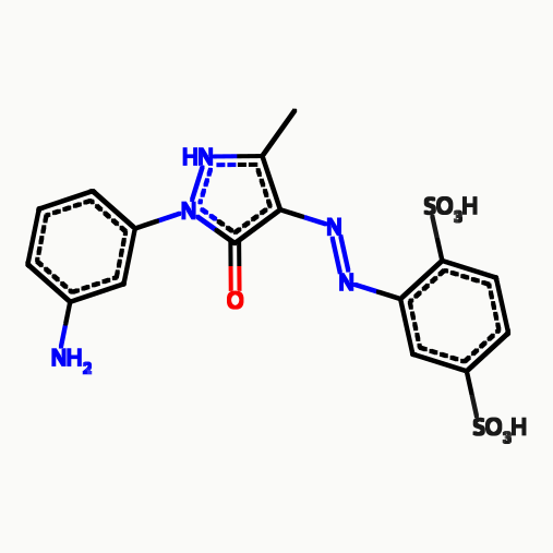 Cc1[nH]n(-c2cccc(N)c2)c(=O)c1N=Nc1cc(S(=O)(=O)O)ccc1S(=O)(=O)O